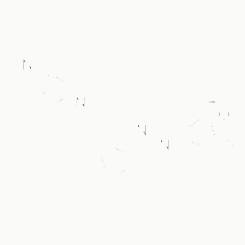 COc1cc(CN2CCN(C3CC4(CCN(c5ccc(C(N)=O)cc5)CC4)C3)C(c3ccccc3C(C)C)C2)cc2cc(C)oc12